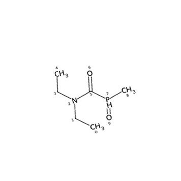 CCN(CC)C(=O)[PH](C)=O